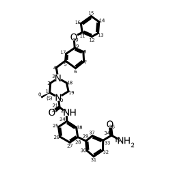 C[C@H]1CN(Cc2cccc(Oc3ccccc3)c2)CCN1C(=O)Nc1cccc(-c2cccc(C(N)=O)c2)c1